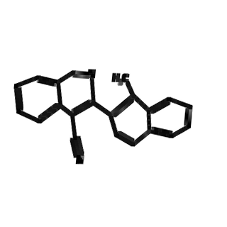 Cc1c(-c2ncc3ccccc3c2C#N)ccc2ccccc12